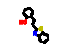 Oc1ccccc1C=Cc1nc2ccccc2s1